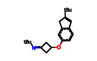 CC(C)(C)N=C1CC(Oc2ccc3c(c2)CC(C(C)(C)C)=C3)C1